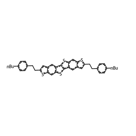 CCCCc1ccc(CCc2cc3cc4c(cc3s2)sc2c3cc5cc(CCc6ccc(CCCC)cc6)sc5cc3sc42)cc1